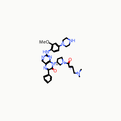 COc1cc(N2CCNCC2)ccc1Nc1ncc2nc(-c3ccccc3)c(=O)n([C@H]3CCN(C(=O)/C=C/CN(C)C)C3)c2n1